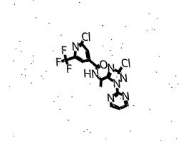 CC(NC(=O)c1cc(Cl)nc(C(F)(F)F)c1)c1nc(Cl)nn1-c1ncccn1